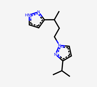 CC(C)c1ccn(CCC(C)c2cc[nH]n2)n1